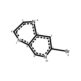 Brc1cc2nccnc2cn1